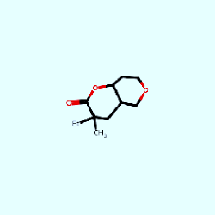 CCC1(C)CC2COCCC2OC1=O